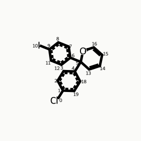 Clc1ccc(C2(c3ccc(I)cc3)C=CC=CO2)cc1